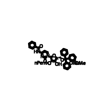 CCCCCO[C@@H]1[C@H](O)[C@@H](COC(c2ccccc2)(c2ccccc2)c2cccc(OC)c2OC)O[C@H]1n1ccc(NC(=O)c2ccccc2)nc1=O